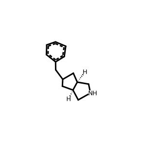 c1ccc(CC2C[C@H]3CNC[C@H]3C2)cc1